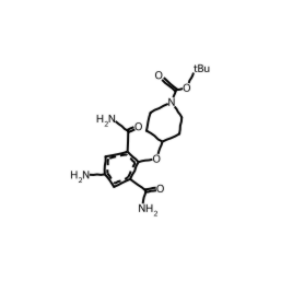 CC(C)(C)OC(=O)N1CCC(Oc2c(C(N)=O)cc(N)cc2C(N)=O)CC1